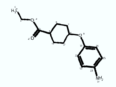 CCOC(=O)C1CCC(Oc2ccc(N)cc2)CC1